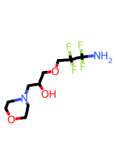 NC(F)(F)C(F)(F)COCC(O)CN1CCOCC1